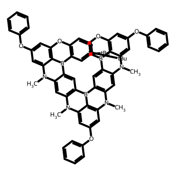 CN1c2cc3c(cc2B2c4cc(C(C)(C)C)ccc4Oc4cc(Oc5ccccc5)cc1c42)B1c2cc4c(cc2N(C)c2cc(Oc5ccccc5)cc(c21)N3C)N(C)c1cc(Oc2ccccc2)cc2c1B4c1cc(C(C)(C)C)ccc1O2